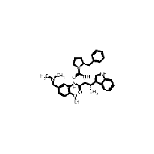 CCOc1ccc(CN(C)C)cc1NC(=O)[C@H](NC(=O)N1CCCC1Cc1ccccc1)[C@@H](C)c1c[nH]c2ccccc12